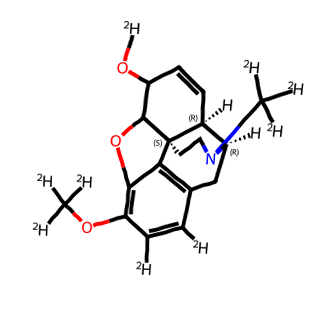 [2H]OC1C=C[C@H]2[C@H]3Cc4c([2H])c([2H])c(OC([2H])([2H])[2H])c5c4[C@@]2(CCN3C([2H])([2H])[2H])C1O5